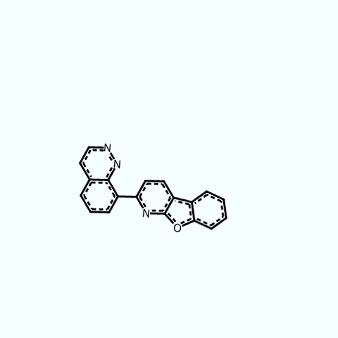 c1cc(-c2ccc3c(n2)oc2ccccc23)c2nnccc2c1